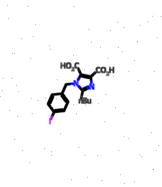 CCCCc1nc(C(=O)O)c(C(=O)O)n1Cc1ccc(I)cc1